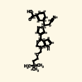 C[Si](C)(C)CCOCN1CN=C(c2cnn(C(CC#N)c3cccc(C(=O)O)c3)c2)c2cc[nH]c21